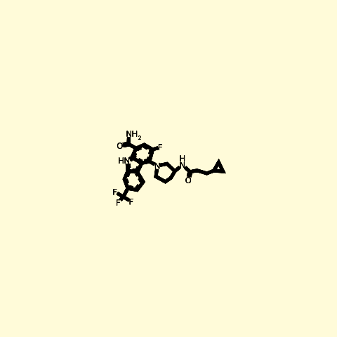 NC(=O)c1cc(F)c(N2CCCC(NC(=O)CCC3CC3)C2)c2c1[nH]c1cc(C(F)(F)F)ccc12